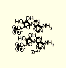 Nc1ncnc2c1ncn2[C@@H]1O[C@H](COP(=O)([O-])[O-])[C@@H](O)[C@H]1O.Nc1ncnc2c1ncn2[C@@H]1O[C@H](COP(=O)([O-])[O-])[C@@H](O)[C@H]1O.[Zr+4]